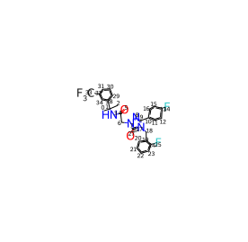 CC(C)(NC(=O)Cn1nc(-c2ccc(F)cc2)n(Cc2ccccc2F)c1=O)c1cccc(C(F)(F)F)c1